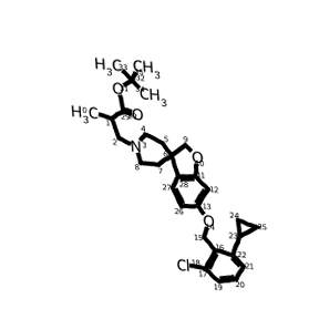 CC(CN1CCC2(CC1)COc1cc(OCc3c(Cl)cccc3C3CC3)ccc12)C(=O)OC(C)(C)C